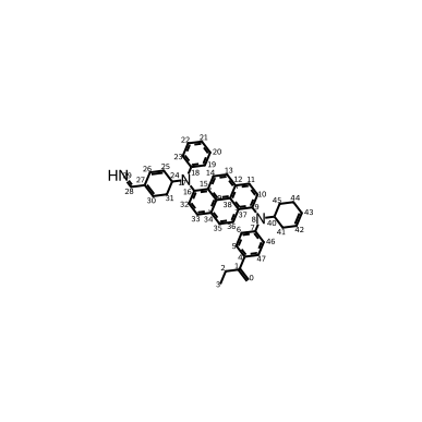 C=C(CC)c1ccc(N(c2ccc3ccc4c(N(c5ccccc5)C5C=CC(C=N)=CC5)ccc5ccc2c3c54)C2CC=CCC2)cc1